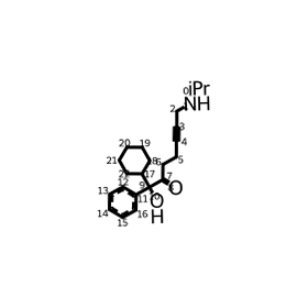 CC(C)NCC#CCCC(=O)C(O)(c1ccccc1)C1CCCCC1